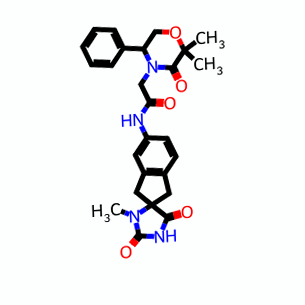 CN1C(=O)NC(=O)C12Cc1ccc(NC(=O)CN3C(=O)C(C)(C)OCC3c3ccccc3)cc1C2